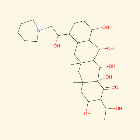 CC(O)C1C(=O)C2(O)C(O)C3C(O)C4C(O)CCC(C(O)CN5CCCCC5)C4CC3(C)CC2(C)CC1O